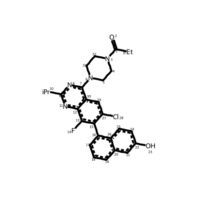 CCC(=O)N1CCN(c2nc(C(C)C)nc3c(F)c(-c4cccc5cc(O)ccc45)c(Cl)cc23)CC1